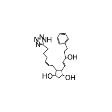 OC(C=CC1C(O)CC(O)C1C/C=C\CCCc1nnn[nH]1)CCc1ccccc1